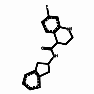 O=C(NC1Cc2ccccc2C1)C1CCNc2cc(F)ccc21